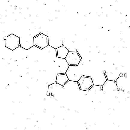 CCn1cc(C2=CC=NC3NC(c4cccc(CN5CCOCC5)c4)=CC23)c(-c2ccc(NC(=O)N(C)C)cc2)n1